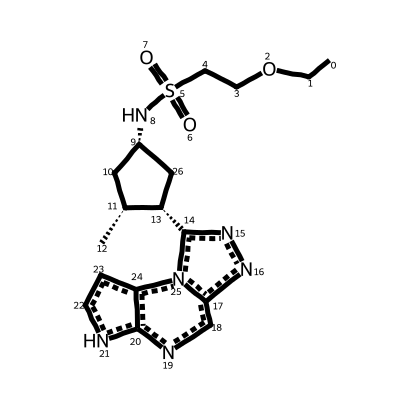 CCOCCS(=O)(=O)N[C@H]1C[C@@H](C)[C@@H](c2nnc3cnc4[nH]ccc4n23)C1